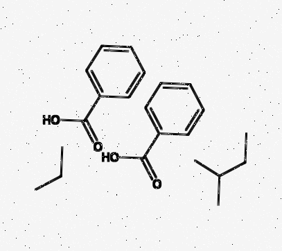 CCC.CCC(C)C.O=C(O)c1ccccc1.O=C(O)c1ccccc1